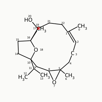 C/C1=C/CCC2(C)OC2CC2(C(C)C)CCC(C)(O2)C(O)CC1